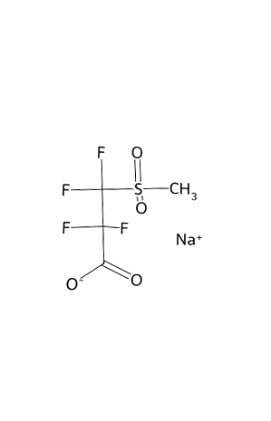 CS(=O)(=O)C(F)(F)C(F)(F)C(=O)[O-].[Na+]